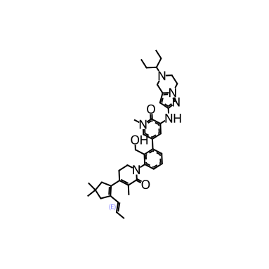 C/C=C/C1=C(C2=C(C)C(=O)N(c3cccc(-c4cc(Nc5cc6n(n5)CCN(C(CC)CC)C6)c(=O)n(C)c4)c3CO)CC2)CC(C)(C)C1